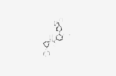 Cc1ccc(C(=O)Nc2cccc(N3CCOCC3)c2)cc1-c1ccc2c(C)noc2c1